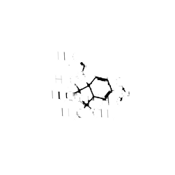 C=COC1(C(C)(C)C)C=CC=CC1C(C)(C)C.COC